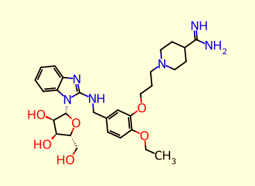 CCOc1ccc(CNc2nc3ccccc3n2[C@@H]2O[C@H](CO)[C@@H](O)[C@H]2O)cc1OCCCN1CCC(C(=N)N)CC1